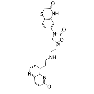 COc1ccc2nccc(CCNCC[C@@H]3CN(c4ccc5c(c4)NC(=O)CS5)C(=O)O3)c2n1